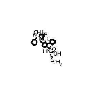 COC(C1CCCCC1)[C@@H]1CC(F)(F)CN1Cc1ccc(C(=O)N[C@@H](CCSC)C(=O)O)c(-c2ccccc2C)c1